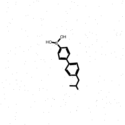 CC(C)Cc1ccc(-c2ccc(B(O)O)cc2)cc1